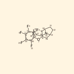 Fc1c(F)c(F)c(OC2CC3CCC(C2)N3CC2CC2)c(F)c1F